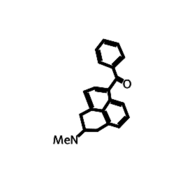 CNC1Cc2cccc3c(C(=O)c4ccccc4)ccc(c23)C1